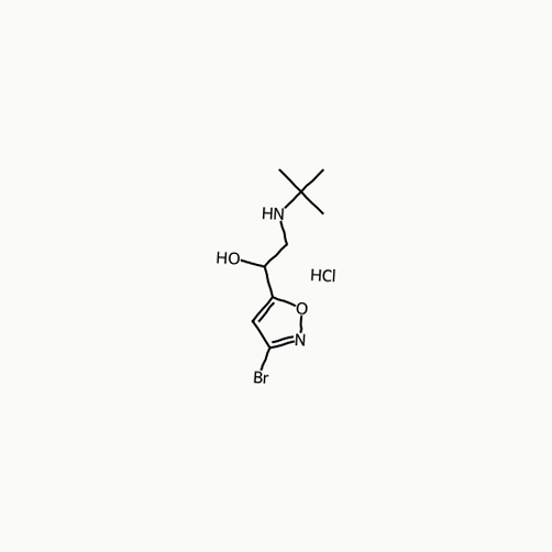 CC(C)(C)NCC(O)c1cc(Br)no1.Cl